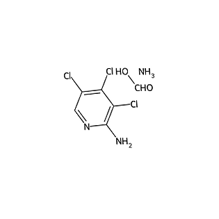 N.Nc1ncc(Cl)c(Cl)c1Cl.O=CO